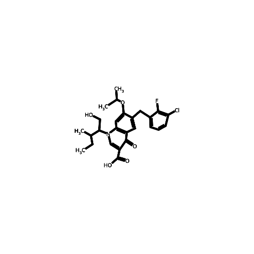 CCC(C)C(CO)n1cc(C(=O)O)c(=O)c2cc(Cc3cccc(Cl)c3F)c(OC(C)C)cc21